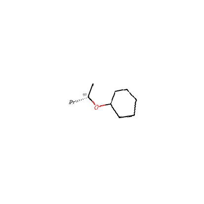 CC(C)[C@H](C)OC1CCCCC1